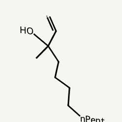 [CH]=CC(C)(O)CCCCCCCCC